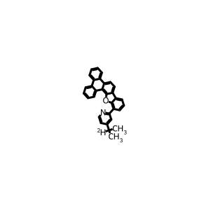 [2H]C(C)(C)c1ccnc(-c2cccc3c2oc2c3ccc3c4ccccc4c4ccccc4c32)c1